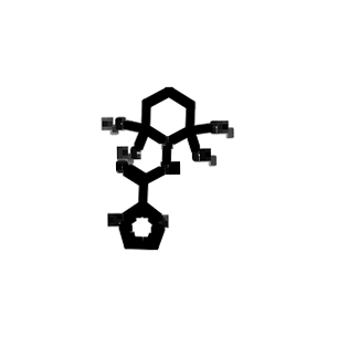 CC1(C)CCCC(C)(C)N1NC(=O)c1ncc[nH]1